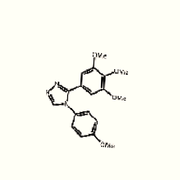 COc1ccc(-n2cnnc2-c2cc(OC)c(OC)c(OC)c2)cc1